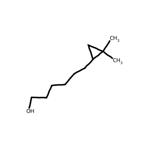 CC1(C)CC1CCCCCCO